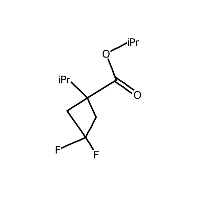 CC(C)OC(=O)C1(C(C)C)CC(F)(F)C1